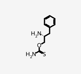 NC(=S)OC[C@H](N)Cc1ccccc1